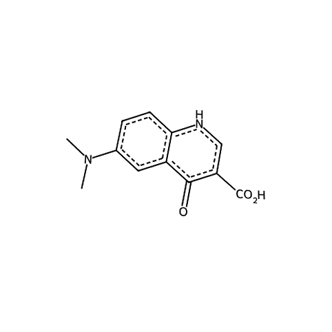 CN(C)c1ccc2[nH]cc(C(=O)O)c(=O)c2c1